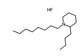 CCCCCCCCN1CCCCC1CCCC.F